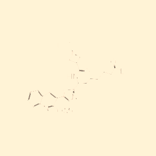 CCC(=O)CCCCC[C@H](NC(=O)C1CN(C)C1)c1ncc(-c2cc3ccccc3nc2OC)o1